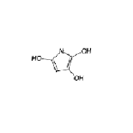 OC1=CC(O)=C(O)[N]1